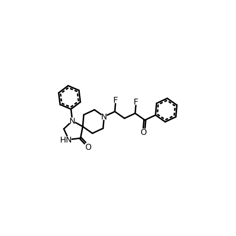 O=C(c1ccccc1)C(F)CC(F)N1CCC2(CC1)C(=O)NCN2c1ccccc1